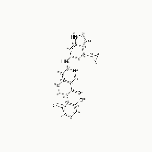 O=C1c2cnc(Nc3cc(C4CC4)c4cc[nH]c4c3)nc2OCN1c1c(Cl)cccc1Cl